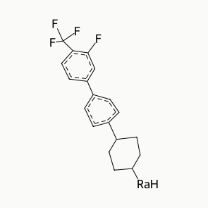 Fc1cc(-c2ccc(C3CC[CH]([RaH])CC3)cc2)ccc1C(F)(F)F